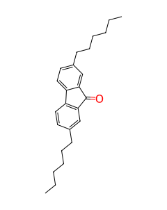 CCCCCCc1ccc2c(c1)C(=O)c1cc(CCCCCC)ccc1-2